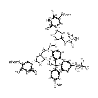 CCCCCc1cn([C@@H]2CC(OCOC[C@@H]3O[C@H](n4cc(CCCCC)c(=O)[nH]c4=O)CC3OP(=O)(O)O)[C@H](COC(c3ccccc3)(c3ccc(OC)cc3)c3ccc(OC)cc3)O2)c(=O)[nH]c1=O.CCN(CC)CC